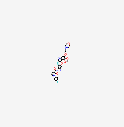 O=C(Nc1ccc(Oc2ccnc3cc(OCCCN4CCOCC4)c4c(c23)OCCO4)c(F)c1)c1cccn(-c2ccc(F)cc2)c1=O